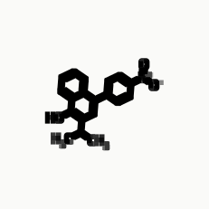 CC(C)c1cc(-c2ccc([N+](=O)[O-])cc2)c2ccccc2c1O